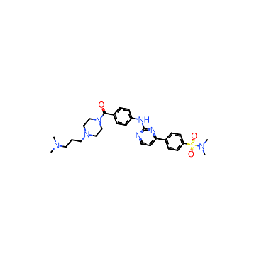 CN(C)CCCN1CCN(C(=O)c2ccc(Nc3nccc(-c4ccc(S(=O)(=O)N(C)C)cc4)n3)cc2)CC1